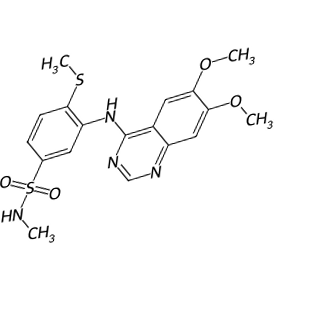 CNS(=O)(=O)c1ccc(SC)c(Nc2ncnc3cc(OC)c(OC)cc23)c1